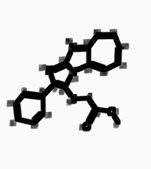 COC(=O)CSc1c(-c2ccccc2)nc2nc3cccccc3n12